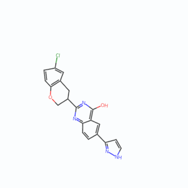 Oc1nc(C2COc3ccc(Cl)cc3C2)nc2ccc(-c3cc[nH]n3)cc12